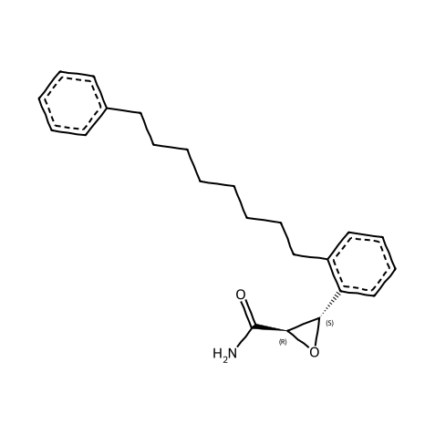 NC(=O)[C@@H]1O[C@H]1c1ccccc1CCCCCCCCc1ccccc1